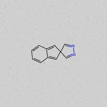 C1=NN=CC12C=c1ccccc1=C2